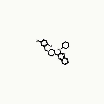 Clc1ccc(Cl)c(CN2CCN(c3nc4ccccc4nc3NC3CCCCC3)CC2)c1